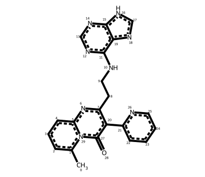 Cc1cccc2nc(CCNc3ncnc4[nH]cnc34)c(-c3ccccn3)c(=O)n12